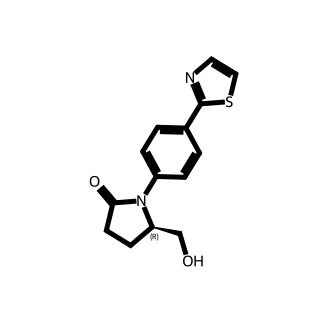 O=C1CC[C@H](CO)N1c1ccc(-c2nccs2)cc1